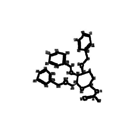 CC(=O)OC1CC[C@H](OCc2ccccc2)[C@H](OCc2ccccc2)[C@@H](COCc2ccccc2)O1